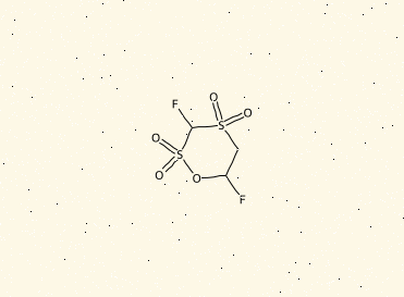 O=S1(=O)CC(F)OS(=O)(=O)C1F